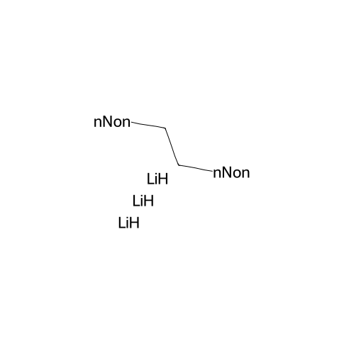 CCCCCCCCCCCCCCCCCCCC.[LiH].[LiH].[LiH]